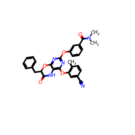 Cc1ccc(C#N)cc1Oc1nc(Oc2cccc(C(=O)N(C)C)c2)nc2c1NC(=O)C(Cc1ccccc1)O2